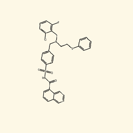 O=C(NS(=O)(=O)c1ccc(CN(CCSc2ccccc2)Cc2c(F)cccc2Cl)cc1)c1cccc2ccccc12